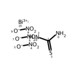 NC(N)=S.O=[N+]([O-])[O-].O=[N+]([O-])[O-].O=[N+]([O-])[O-].[Bi+3]